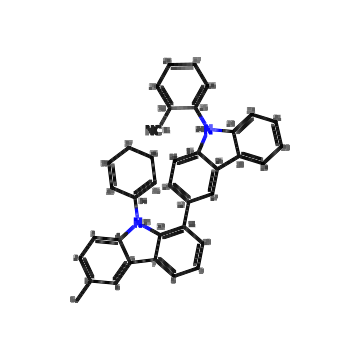 Cc1ccc2c(c1)c1cccc(-c3ccc4c(c3)c3ccccc3n4-c3ccccc3C#N)c1n2C1=CCCC=C1